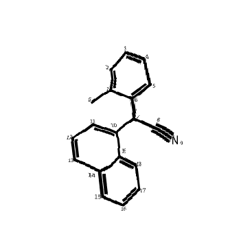 Cc1ccccc1C(C#N)c1cccc2ccccc12